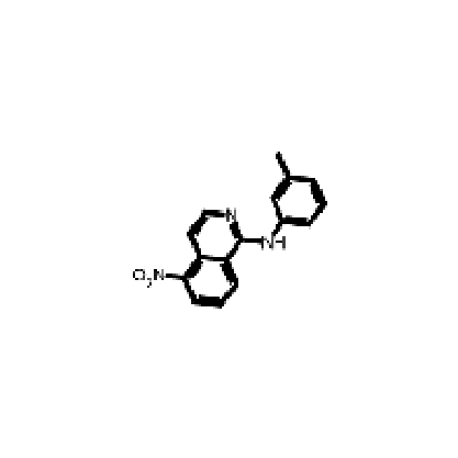 Cc1cccc(Nc2nccc3c([N+](=O)[O-])cccc23)c1